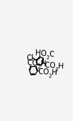 O=C(O)c1ccc(Cl)c(C(=O)O)c1.O=C(O)c1cccc(C(=O)O)c1